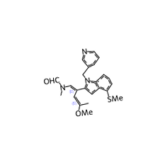 CO/C(C)=C/C(=C\N(C)C=O)c1cc2c(SC)cccc2n1Cc1cccnc1